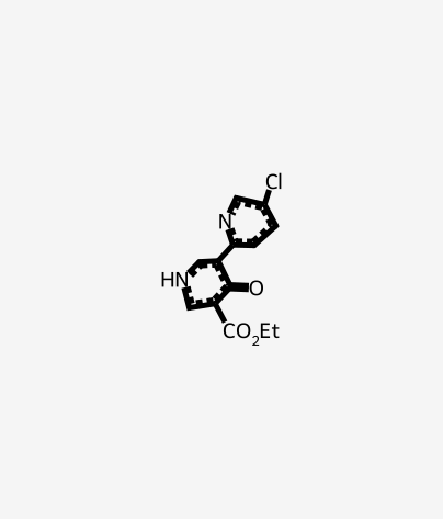 CCOC(=O)c1c[nH]cc(-c2ccc(Cl)cn2)c1=O